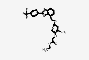 CCOC(=O)COc1ccc(SCc2cccc3sc(-c4ccc(C(F)(F)F)cc4)nc23)cc1C